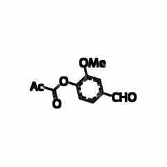 COc1cc(C=O)ccc1OC(=O)C(C)=O